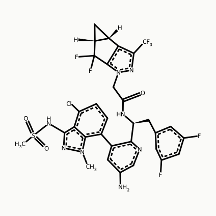 Cn1nc(NS(C)(=O)=O)c2c(Cl)ccc(-c3cc(N)cnc3[C@H](Cc3cc(F)cc(F)c3)NC(=O)Cn3nc(C(F)(F)F)c4c3C(F)(F)[C@@H]3C[C@H]43)c21